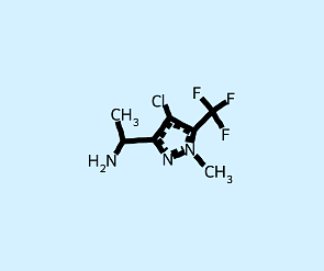 CC(N)c1nn(C)c(C(F)(F)F)c1Cl